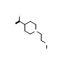 CC(C)(C)OCCN1CCC(C(N)=O)CC1